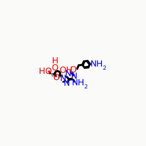 Nc1ccc(CCOc2nc(N)c3ncn([C@@H]4O[C@H](CO)C(O)C4O)c3n2)cc1